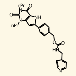 CCCn1c(=O)c2[nH]c(-c3ccc(COC(=O)NCc4ccncc4)cc3)cc2n(CCC)c1=O